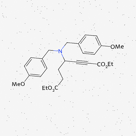 CCOC(=O)C#CC(CCC(=O)OCC)N(Cc1ccc(OC)cc1)Cc1ccc(OC)cc1